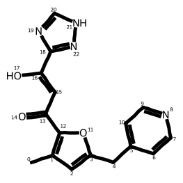 Cc1cc(Cc2ccncc2)oc1C(=O)C=C(O)c1nc[nH]n1